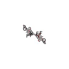 Cc1ccc(C)c(C2(c3ccc(Oc4ccc5c(c4)CC5)cc3)C3=C(C=CCC3)c3ccc(N(c4ccc(-c5ccc(N(c6ccc7c(c6)C(c6ccc(Oc8ccc9c(c8)CC9)cc6)(c6cc(C)ccc6C)c6ccccc6-7)c6ccc(F)cc6F)cc5)cc4)c4ccc(F)cc4F)cc32)c1